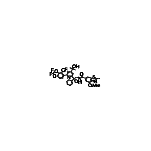 COc1cc(C(=O)NC[C@@](O)(c2ccccc2)c2cc(C(C)(C)O)c(F)c(-c3ccc4c(c3Cl)OC(F)(F)O4)n2)cc2sc(C)nc12